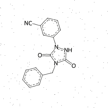 N#Cc1cccc(-n2[nH]c(=O)n(Cc3ccccc3)c2=O)c1